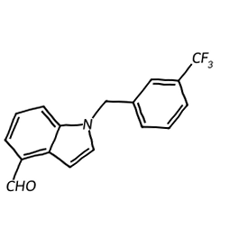 O=Cc1cccc2c1ccn2Cc1cccc(C(F)(F)F)c1